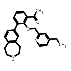 CCc1ccnc(COc2c(C(C)=O)cccc2-c2ccc3c(c2)CCNCC3)c1